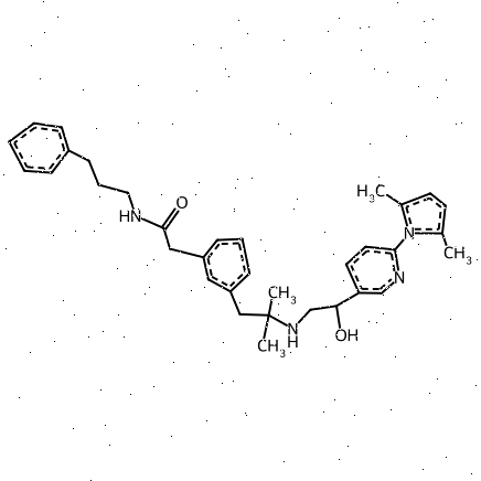 Cc1ccc(C)n1-c1ccc(C(O)CNC(C)(C)Cc2cccc(CC(=O)NCCCc3ccccc3)c2)cn1